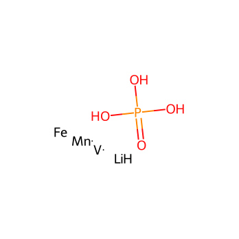 O=P(O)(O)O.[Fe].[LiH].[Mn].[V]